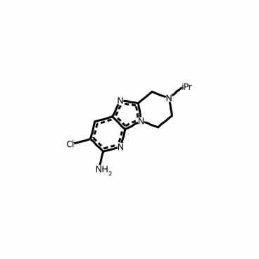 CC(C)N1CCn2c(nc3cc(Cl)c(N)nc32)C1